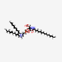 CCCCCCCCCCCCCCCC(=O)NC(CO)(CO)COSCCC[N+](C)(CCCCCCCCCC)CCCCCCCCCC